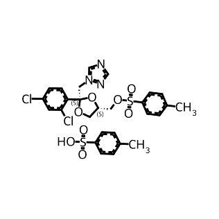 Cc1ccc(S(=O)(=O)O)cc1.Cc1ccc(S(=O)(=O)OC[C@@H]2CO[C@@](Cn3cncn3)(c3ccc(Cl)cc3Cl)O2)cc1